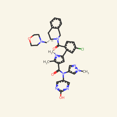 Cc1c(C(=O)N(c2cnc(O)nc2)c2cnn(C)c2)cc(-c2cc(Cl)ccc2C(=O)N2Cc3ccccc3C[C@H]2CN2CCOCC2)n1C